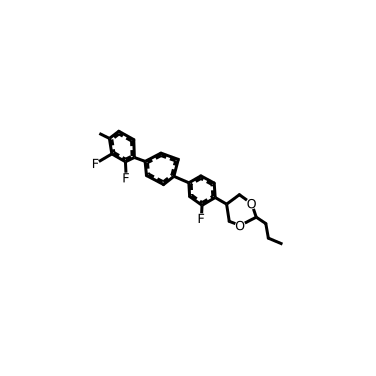 CCCC1OCC(c2ccc(-c3ccc(-c4ccc(C)c(F)c4F)cc3)cc2F)CO1